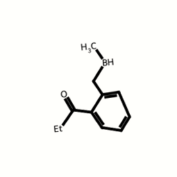 CBCc1ccccc1C(=O)CC